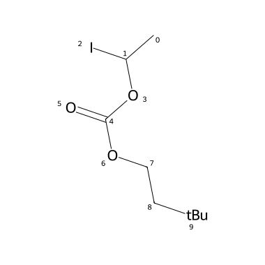 CC(I)OC(=O)OCCC(C)(C)C